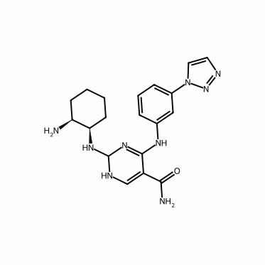 NC(=O)C1=CNC(N[C@@H]2CCCC[C@@H]2N)N=C1Nc1cccc(-n2ccnn2)c1